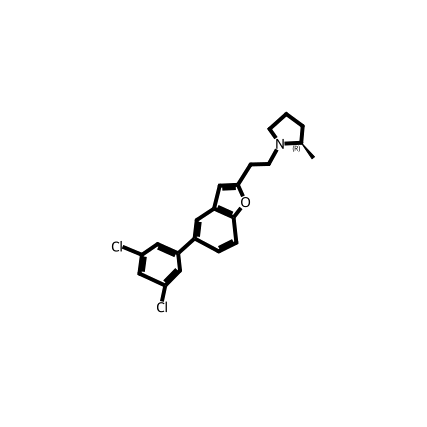 C[C@@H]1CCCN1CCc1cc2cc(-c3cc(Cl)cc(Cl)c3)ccc2o1